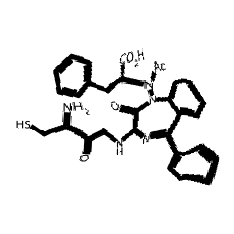 CC(=O)N([C@@H](Cc1ccccc1)C(=O)O)N1C(=O)C(NCC(=O)C(N)CS)N=C(c2ccccc2)c2ccccc21